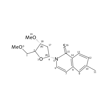 COCC1O[C@@H](n2ccc3cc(C)ccc3c2=S)C[C@H]1OC